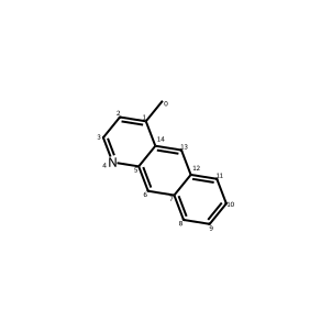 Cc1ccnc2cc3ccccc3cc12